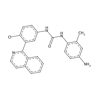 Cc1cc(N)ccc1NC(=O)Nc1ccc(Cl)c(-c2nccc3ccccc23)c1